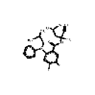 C#CC(C)(CC(C)C)NC(=O)c1cc(F)c(F)cc1N(CC(C)C)c1ccccc1